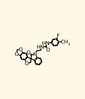 Cc1ccc(NC(=O)NCCN2C(=O)C3(COc4cc5c(cc43)OCO5)c3ccccc32)cc1F